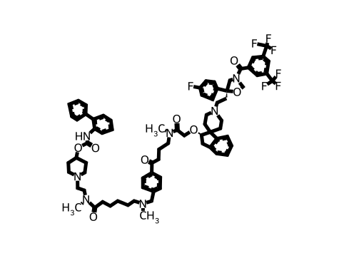 CN(CCCCCC(=O)N(C)CCN1CCC(OC(=O)Nc2ccccc2-c2ccccc2)CC1)Cc1ccc(C(=O)CCCN(C)C(=O)CO[C@H]2Cc3ccccc3C23CCN(CC[C@]2(c4ccc(F)cc4)CN(C(=O)c4cc(C(F)(F)F)cc(C(F)(F)F)c4)CO2)CC3)cc1